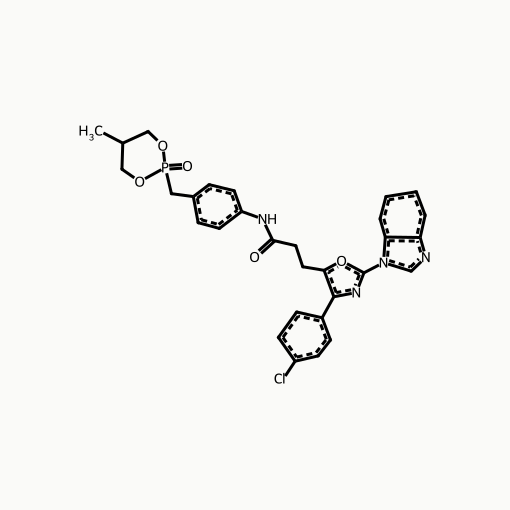 CC1COP(=O)(Cc2ccc(NC(=O)CCc3oc(-n4cnc5ccccc54)nc3-c3ccc(Cl)cc3)cc2)OC1